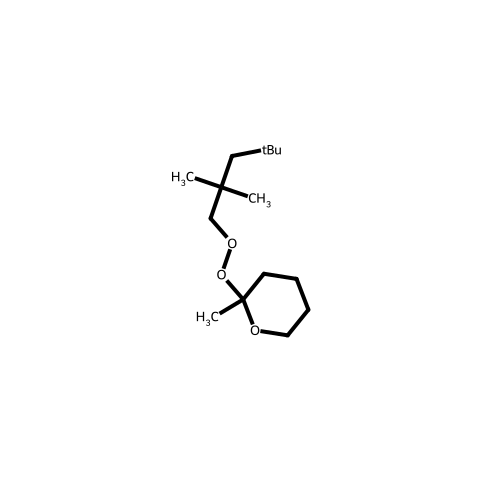 CC(C)(C)CC(C)(C)COOC1(C)CCCCO1